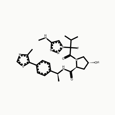 CNc1cn(C(F)(C(=O)N2C[C@H](O)C[C@H]2C(=O)N[C@@H](C)c2ccc(-c3scnc3C)cc2)C(C)C)nn1